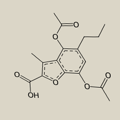 CCCc1cc(OC(C)=O)c2oc(C(=O)O)c(C)c2c1OC(C)=O